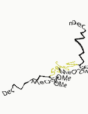 CCCCCCCCCCCCCCCCCC(SSSSSC(CCCCCCCCCCCCCCCCC)[Si](OC)(OC)OC)[Si](OC)(OC)OC